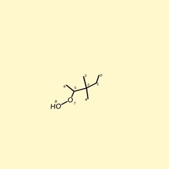 CCC(C)(C)C(C)OO